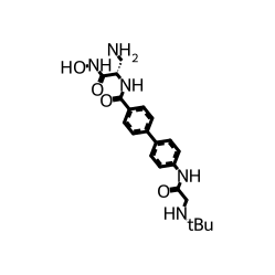 CC(C)(C)NCC(=O)Nc1ccc(-c2ccc(C(=O)N[C@@H](CN)C(=O)NO)cc2)cc1